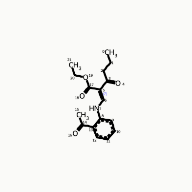 CCCC(=O)/C(=C/Nc1ccccc1C(C)=O)C(=O)OCC